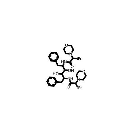 CC(C)C(C(=O)NC(Cc1ccccc1)C(O)C(O)C(Cc1ccccc1)NC(=O)C(C(C)C)N1CCOCC1)N1CCOCC1